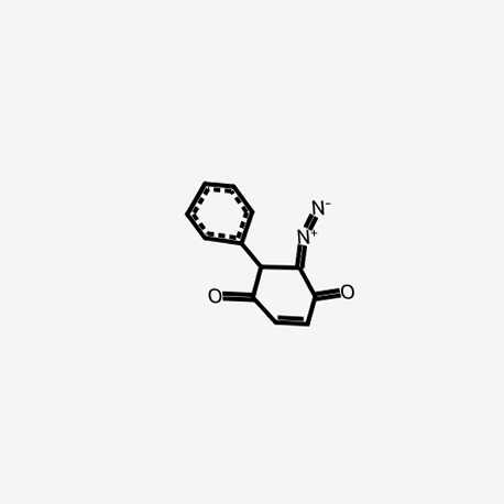 [N-]=[N+]=C1C(=O)C=CC(=O)C1c1ccccc1